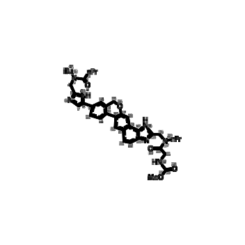 CCCC(=O)N(Cc1ncc(-c2ccc3c(c2)COc2cc4c(ccc5nc(CN(CCC)C(=O)CNC(=O)OC)[nH]c54)cc2-3)[nH]1)[C@@H](C)CC